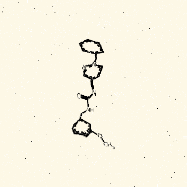 COc1cccc(CNC(=O)N=c2ccn(-c3ccccc3)nc2)c1